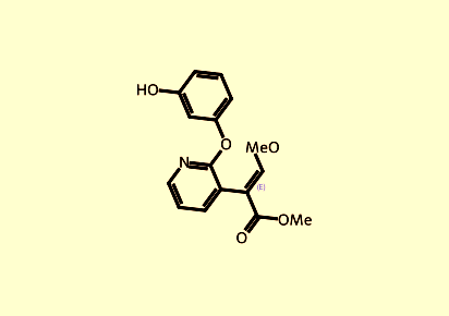 CO/C=C(/C(=O)OC)c1cccnc1Oc1cccc(O)c1